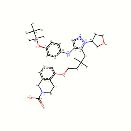 CC(C)(CCOc1cccc2c1CCN(C(=O)O)C2)Cc1c(Nc2ccc(O[Si](C)(C)C(C)(C)C)cc2)cnn1C1CCOC1